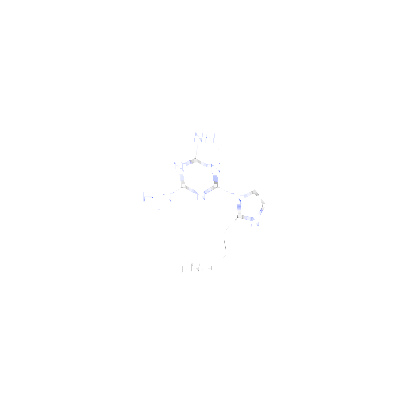 CCCCCCCCCCCc1nccn1-c1nc(N)nc(N)n1